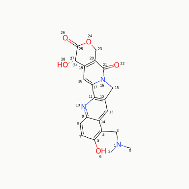 CN(C)Cc1c(O)ccc2nc3c(cc12)Cn1c-3cc2c(c1=O)COC(=O)[C@H]2O